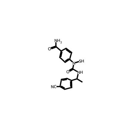 CC(NC(=O)N(S)c1ccc(C(N)=O)cc1)c1ccc(C#N)cc1